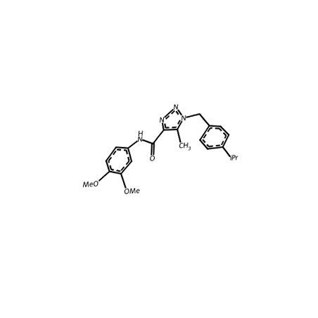 COc1ccc(NC(=O)c2nnn(Cc3ccc(C(C)C)cc3)c2C)cc1OC